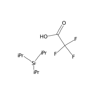 CC(C)[Si](C(C)C)C(C)C.O=C(O)C(F)(F)F